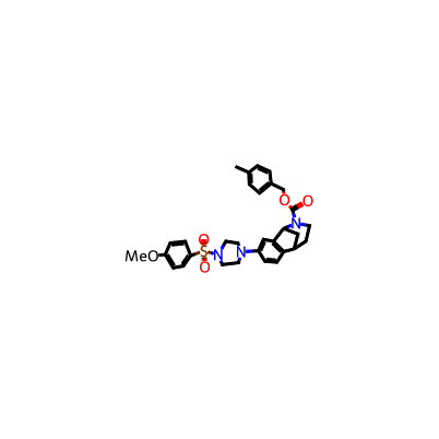 COc1ccc(S(=O)(=O)N2CCN(c3ccc4c(c3)C3CC4CCN3C(=O)OCc3ccc(C)cc3)CC2)cc1